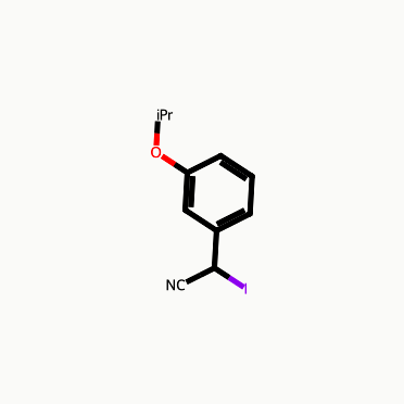 CC(C)Oc1cccc(C(I)C#N)c1